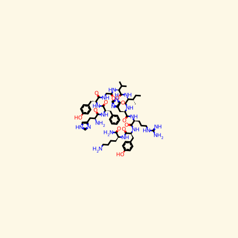 CC[C@H](C)[C@H](NC(=O)[C@@H](NC(=O)CNC(=O)[C@@H](Cc1ccc(O)cc1)NC(=O)[C@H](Cc1ccccc1)NC(=O)[C@@H](N)Cc1c[nH]cn1)C(C)C)C(=O)N[C@H](Cc1c[nH]cn1)C(=O)N[C@@H](CCCNC(=N)N)C(=O)N[C@@H](Cc1ccc(O)cc1)C(=O)N[C@@H](CCCCN)C(N)=O